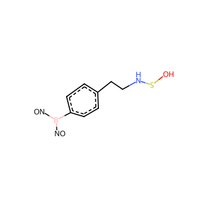 O=NB(N=O)c1ccc(CCNSO)cc1